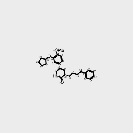 COc1ccc([C@H]2CNC(=O)[C@H](CCCCc3ccccc3)C2)cc1OC1CCCC1